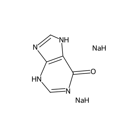 O=c1nc[nH]c2nc[nH]c12.[NaH].[NaH]